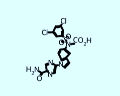 NC(=O)c1cnc(-n2ccc3cc(N(CC(=O)O)S(=O)(=O)c4cc(Cl)cc(Cl)c4)ccc32)cn1